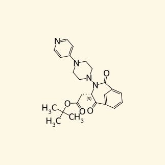 CC(C)(C)OC(=O)C[C@H]1C(=O)c2cccc(c2)C(=O)N1N1CCN(c2ccncc2)CC1